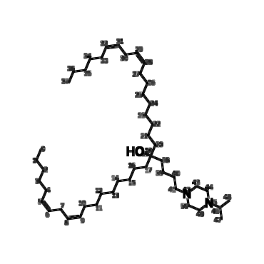 CCCCC/C=C\C/C=C\CCCCCCCCC(O)(CCCCCCCC/C=C\C/C=C\CCCCC)CCCCN1CCN(C(C)C)CC1